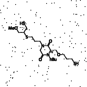 CCCCN1C(=O)CN(CCCSC(CS)COC)C(=O)[C@@H]1COCCCS